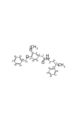 COc1cc(CC(=O)NCCC(C)c2ccccc2)ccc1OCc1ccccc1